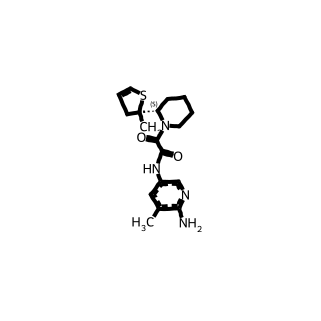 Cc1cc(NC(=O)C(=O)N2CCCC[C@H]2C2(C)CC=CS2)cnc1N